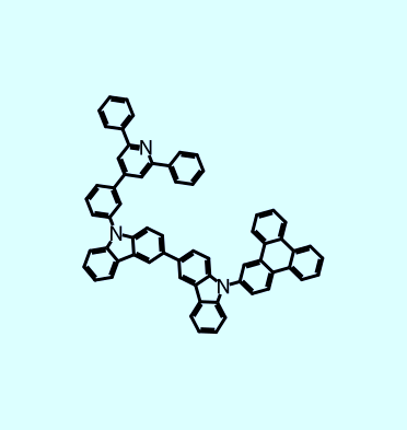 c1ccc(-c2cc(-c3cccc(-n4c5ccccc5c5cc(-c6ccc7c(c6)c6ccccc6n7-c6ccc7c8ccccc8c8ccccc8c7c6)ccc54)c3)cc(-c3ccccc3)n2)cc1